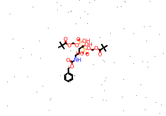 CC(C)(C)C(=O)OCOP(=O)(O)C(O)(CCCNC(=O)OCc1ccccc1)P(=O)(O)OCOC(=O)C(C)(C)C